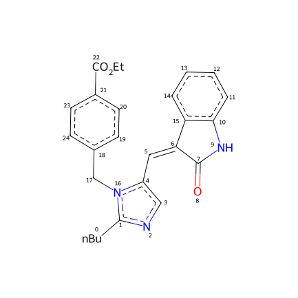 CCCCc1ncc(C=C2C(=O)Nc3ccccc32)n1Cc1ccc(C(=O)OCC)cc1